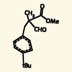 COC(=O)C(C)(C=O)Cc1ccc(C(C)(C)C)cc1